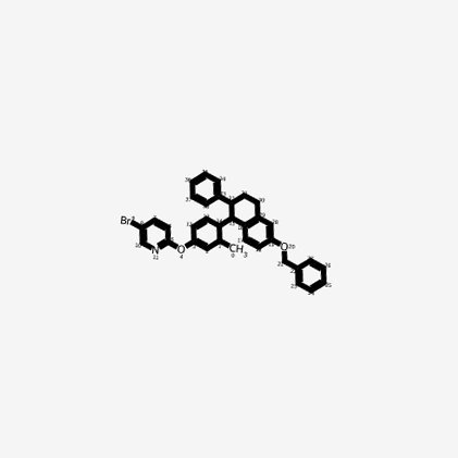 CC1C=C(Oc2ccc(Br)cn2)C=CC1C1c2ccc(OCc3ccccc3)cc2CCC1c1ccccc1